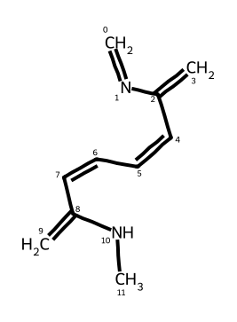 C=NC(=C)/C=C\C=C/C(=C)NC